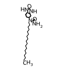 CCCCCCCCCCCCCCCCCCN(C(N)=O)c1ccc2[nH]c(=O)[nH]c2c1